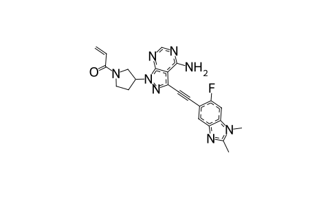 C=CC(=O)N1CCC(n2nc(C#Cc3cc4nc(C)n(C)c4cc3F)c3c(N)ncnc32)C1